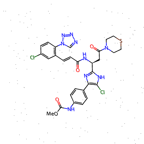 COC(=O)Nc1ccc(-c2nc([C@H](CC(=O)N3CCSCC3)NC(=O)/C=C/c3cc(Cl)ccc3-n3cnnn3)[nH]c2Cl)cc1